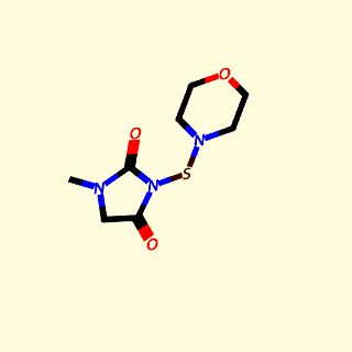 CN1CC(=O)N(SN2CCOCC2)C1=O